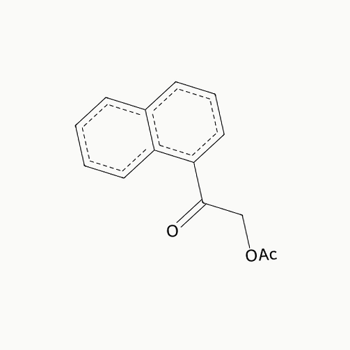 CC(=O)OCC(=O)c1cccc2ccccc12